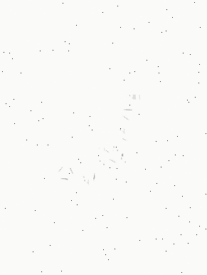 O=C(Cn1cnc2c(c1=O)NC(c1cnc(-c3ccccc3)o1)CC2)NCc1cc2c(s1)CNCC2